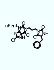 CCCCCn1c(=O)n(CCCN2C(=O)NC(Cc3ccccc3)C2=O)c(=O)c2[nH]c(Cl)nc21